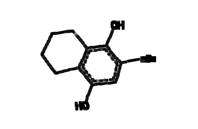 [CH2]CCCc1cc(O)c2c(c1O)CCCC2